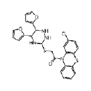 O=C(CSC1NNC(c2ccco2)C(c2ccco2)N1)N1c2ccccc2Sc2ccc(Cl)cc21